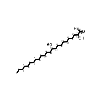 CCCCCCCCCCCCCCCCCCCCCC[C@H](O)C(=O)S.[Ag]